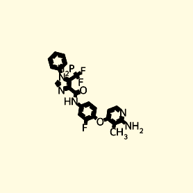 Cc1c(Oc2ccc(NC(=O)c3ncn(-c4ccccc4)c3C(F)(F)P)cc2F)ccnc1N